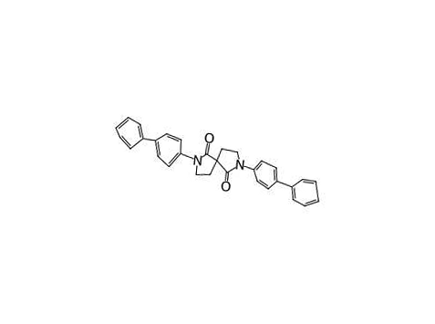 O=C1N(c2ccc(-c3ccccc3)cc2)CCC12CCN(c1ccc(-c3ccccc3)cc1)C2=O